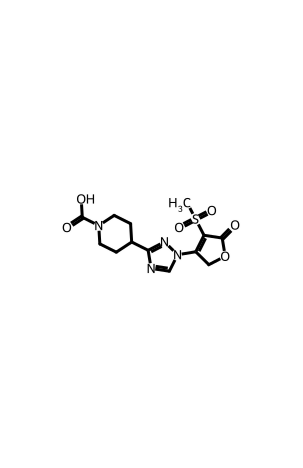 CS(=O)(=O)C1=C(n2cnc(C3CCN(C(=O)O)CC3)n2)COC1=O